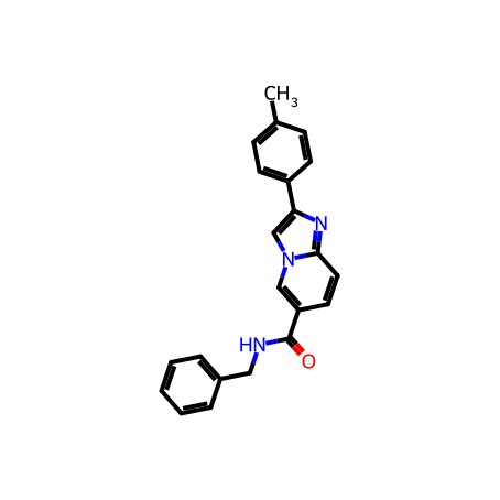 Cc1ccc(-c2cn3cc(C(=O)NCc4ccccc4)ccc3n2)cc1